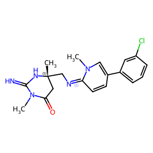 CN1C(=N)N[C@](C)(C/N=c2/ccc(-c3cccc(Cl)c3)cn2C)CC1=O